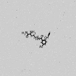 C#CCOc1ccc(C(C)=O)cc1C(=O)NCCCCC(N)C(N)=O